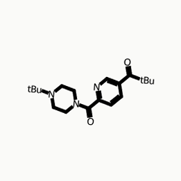 CC(C)(C)C(=O)c1ccc(C(=O)N2CCN(C(C)(C)C)CC2)nc1